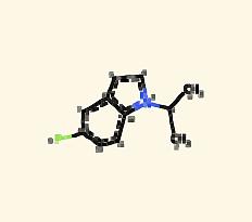 CC(C)n1ccc2cc(F)ccc21